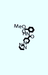 COC(=O)c1ccccc1NC(=O)C1=CCN(c2ncccn2)CC1